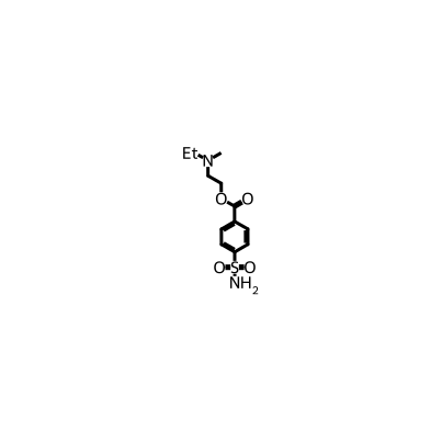 CCN(C)CCOC(=O)c1ccc(S(N)(=O)=O)cc1